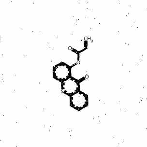 C=CC(=O)Oc1cccc2sc3ccccc3c(=O)c12